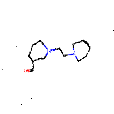 O=CC1CCCN(CCN2CCCCC2)C1